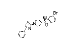 O=S(=O)(c1cccc(Br)c1)C1CCN(c2nc(-c3ccccc3)cs2)CC1